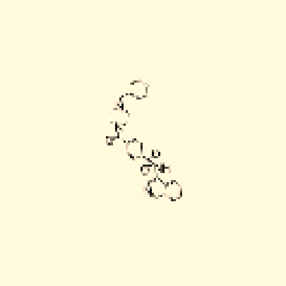 O=C(c1ccc(S(=O)(=O)Nc2cncc3ccccc23)cc1)N1CCN(Cc2ccccc2)CC1